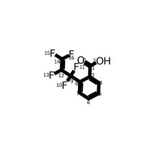 O=C(O)c1ccccc1C(F)(F)C(F)=C(F)F